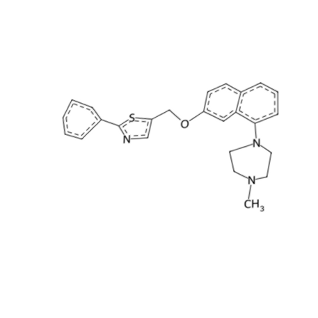 CN1CCN(c2cccc3ccc(OCc4cnc(-c5ccccc5)s4)cc23)CC1